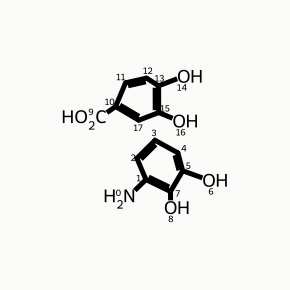 Nc1cccc(O)c1O.O=C(O)c1ccc(O)c(O)c1